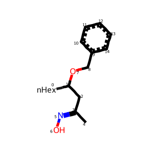 [CH2]CCCCCC(CC(C)=NO)OCc1ccccc1